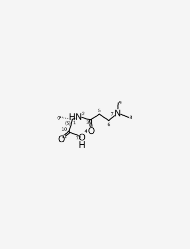 C[C@H](NC(=O)CCN(C)C)C(=O)O